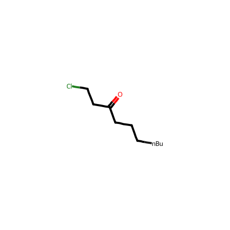 CCCCCCCC(=O)CCCl